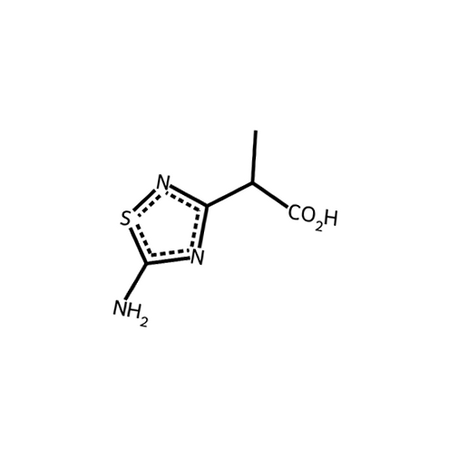 CC(C(=O)O)c1nsc(N)n1